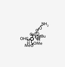 COC(Cc1ccc(C(=O)N(CCOCCOCCN)C(CC(C)C)C(=O)NC(C)(C)C)cc1NC=O)OC